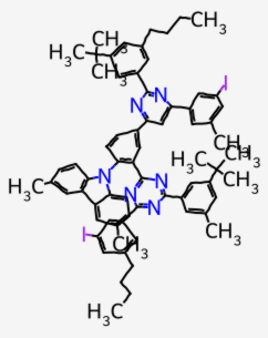 CCCCc1cc(I)cc(-c2nc(-c3cc(C)cc(C(C)(C)C)c3)nc(-c3cc(-c4cc(-c5cc(C)cc(I)c5)nc(-c5cc(CCCC)cc(C(C)(C)C)c5)n4)ccc3-n3c4ccc(C)cc4c4cc(C)ccc43)n2)c1